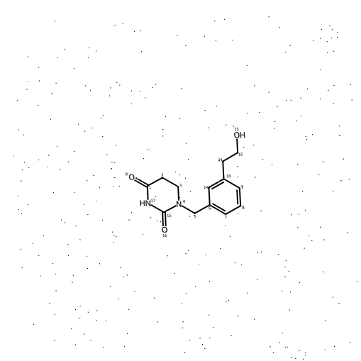 O=C1CCN(Cc2cccc(CCO)c2)C(=O)N1